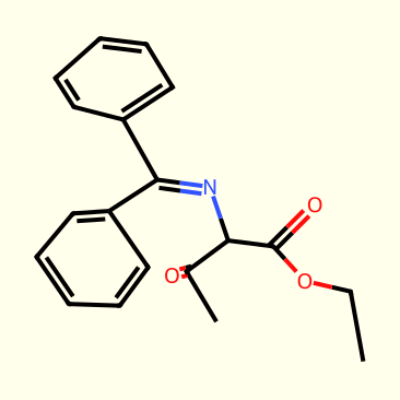 CCOC(=O)C(N=C(c1ccccc1)c1ccccc1)C(C)=O